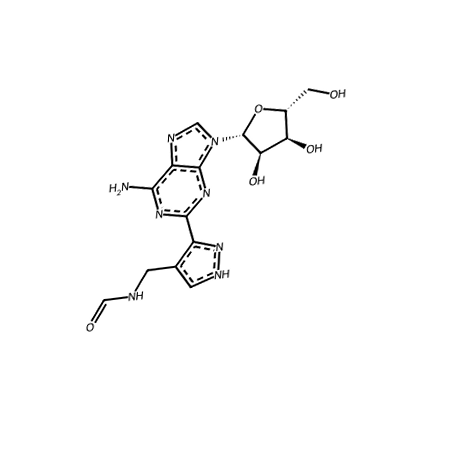 Nc1nc(-c2n[nH]cc2CNC=O)nc2c1ncn2[C@@H]1O[C@H](CO)[C@@H](O)[C@H]1O